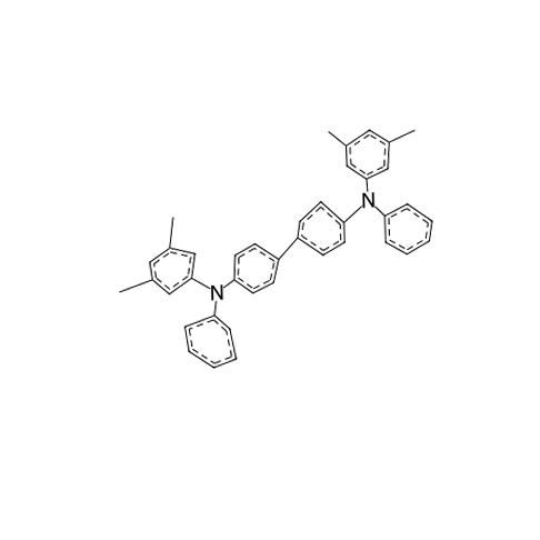 Cc1cc(C)cc(N(c2ccccc2)c2ccc(-c3ccc(N(c4ccccc4)c4cc(C)cc(C)c4)cc3)cc2)c1